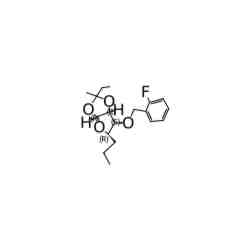 CCC[C@H]1O[C@@H]2OC(C)(CC)O[C@@H]2[C@H]1OCc1ccccc1F